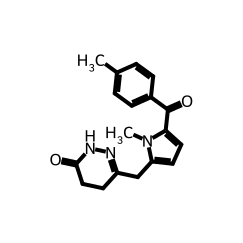 Cc1ccc(C(=O)c2ccc(CC3=NNC(=O)CC3)n2C)cc1